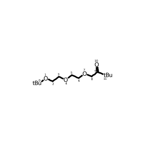 CC(C)(C)OCCOCCOCC(=O)C(C)(C)C